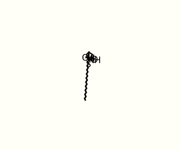 CCCCCCCCCCCCCCCCCCSC[C@H](NS(C)(=O)=O)C(=O)OCC